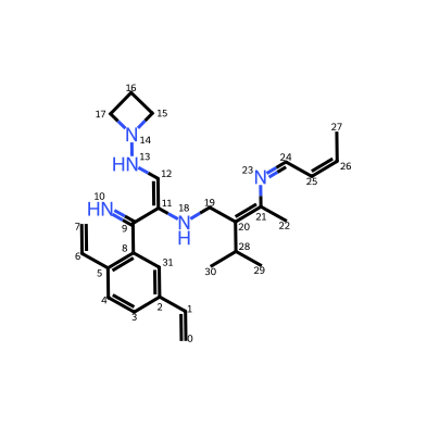 C=Cc1ccc(C=C)c(C(=N)/C(=C\NN2CCC2)NC\C(=C(C)/N=C\C=C/C)C(C)C)c1